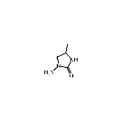 CC1CN(N)C(=O)N1